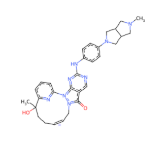 CN1CC2CN(c3ccc(Nc4ncc5c(=O)n6n(c5n4)-c4cccc(n4)C(C)(O)CC/C=C\C6)cc3)CC2C1